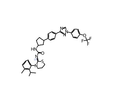 Cc1cccc(N2CCCS/C2=N\C(=O)NC2CCC(c3ccc(-c4ncn(-c5ccc(OC(F)(F)F)cc5)n4)cc3)C2)c1C(C)C